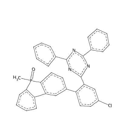 CP1(=O)c2ccccc2-c2cc(-c3ccc(Cl)cc3-c3nc(-c4ccccc4)nc(-c4ccccc4)n3)ccc21